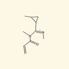 C=CC(=O)N(C)/C(=N\C)C1CC1C